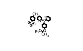 CCOC(C)Oc1ccc([S+](c2ccccn2)c2ccccn2)cc1.Cc1ccc(S(=O)(=O)[O-])cc1